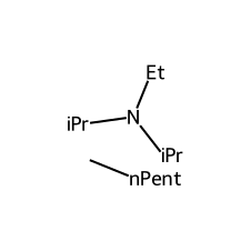 CCCCCC.CCN(C(C)C)C(C)C